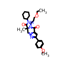 CCOCCCN1C(=O)c2cc(-c3ccc(OC)cc3)nn2CC1(C)C(=O)NC1CCCCC1